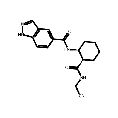 N#CCNC(=O)[C@@H]1CCCC[C@@H]1NC(=O)c1ccc2[nH]ncc2c1